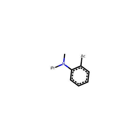 CC(=O)c1ccccc1N(C)C(C)C